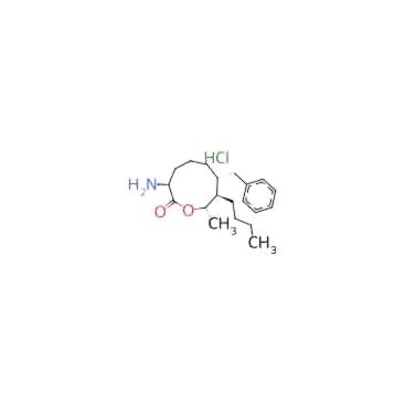 CCCC[C@@H]1[C@@H](Cc2ccccc2)CCC[C@H](N)C(=O)O[C@H]1C.Cl